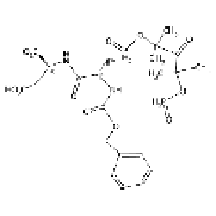 CC(C)(O[PH2]=O)C(=O)C(C)(C)O[PH2]=O.CC(C)[C@H](NC(=O)OCc1ccccc1)C(=O)N[C@@H](CC(=O)O)C(=O)O